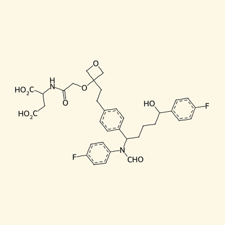 O=CN(c1ccc(F)cc1)C(CCCC(O)c1ccc(F)cc1)c1ccc(CCC2(OCC(=O)NC(CC(=O)O)C(=O)O)COC2)cc1